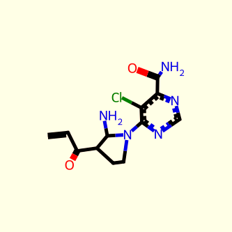 C=CC(=O)C1CCN(c2ncnc(C(N)=O)c2Cl)C1N